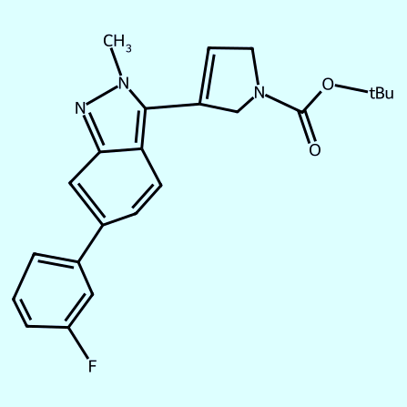 Cn1nc2cc(-c3cccc(F)c3)ccc2c1C1=CCN(C(=O)OC(C)(C)C)C1